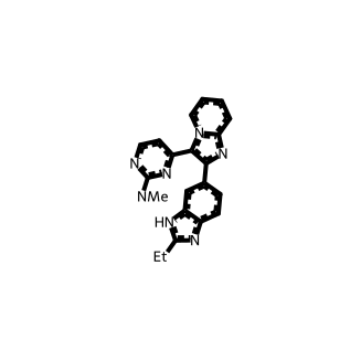 CCc1nc2ccc(-c3nc4ccccn4c3-c3ccnc(NC)n3)cc2[nH]1